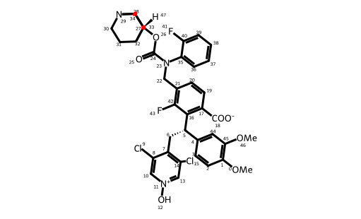 COc1ccc([C@H](Cc2c(Cl)c[n+](O)cc2Cl)c2c(C(=O)[O-])ccc(CN(C(=O)O[C@H]3CN4CCC3CC4)c3ccccc3F)c2F)cc1OC